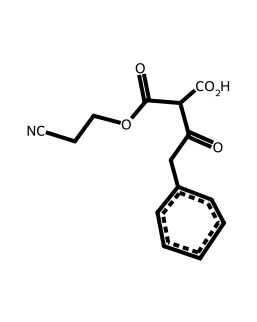 N#CCCOC(=O)C(C(=O)O)C(=O)Cc1ccccc1